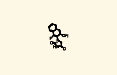 O=C1CN(c2c(O)cc3ccccc3c2F)[S+]([O-])N1